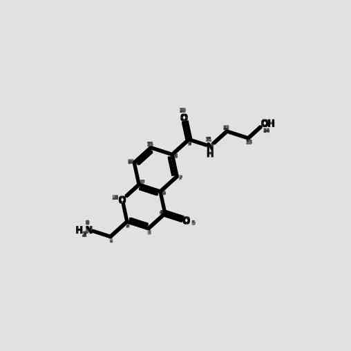 NCc1cc(=O)c2cc(C(=O)NCCO)ccc2o1